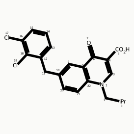 CC(C)Cn1cc(C(=O)O)c(=O)c2cc(Cc3cccc(Cl)c3Cl)ccc21